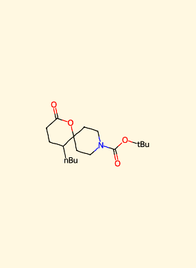 CCCCC1CCC(=O)OC12CCN(C(=O)OC(C)(C)C)CC2